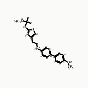 CC(C)(Sc1nc(CCNc2ccc(-c3ccc(OC(F)(F)F)cc3)nc2)cs1)C(=O)O